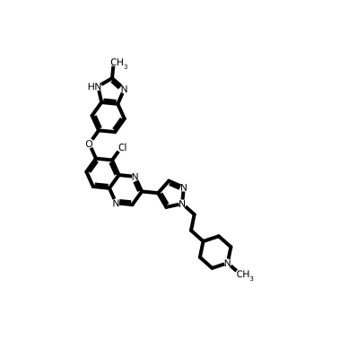 Cc1nc2ccc(Oc3ccc4ncc(-c5cnn(CCC6CCN(C)CC6)c5)nc4c3Cl)cc2[nH]1